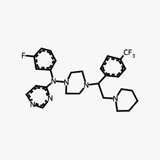 Fc1cccc(N(c2ccncn2)N2CCN(C(CN3CCCCC3)c3ccc(C(F)(F)F)cc3)CC2)c1